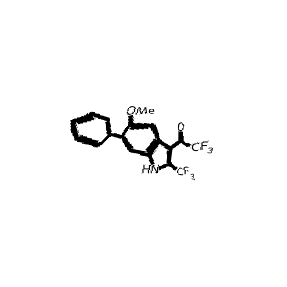 COc1cc2c(C(=O)C(F)(F)F)c(C(F)(F)F)[nH]c2cc1-c1ccccc1